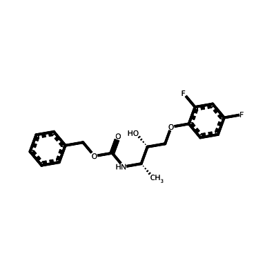 C[C@H](NC(=O)OCc1ccccc1)[C@H](O)COc1ccc(F)cc1F